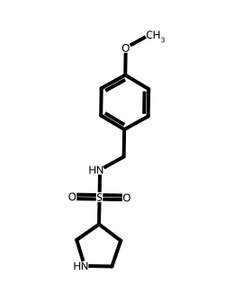 COc1ccc(CNS(=O)(=O)C2CCNC2)cc1